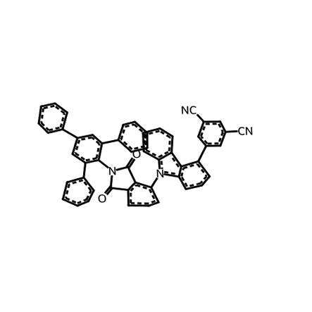 N#Cc1cc(C#N)cc(-c2cccc3c2c2ccccc2n3-c2cccc3c2C(=O)N(c2c(-c4ccccc4)cc(-c4ccccc4)cc2-c2ccccc2)C3=O)c1